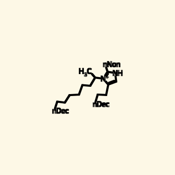 CCCCCCCCCCCCCCCCC(C)[n+]1c(CCCCCCCCCCCC)c[nH]c1CCCCCCCCC